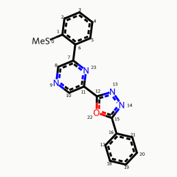 CSc1ccccc1-c1cncc(-c2nnc(-c3ccccc3)o2)n1